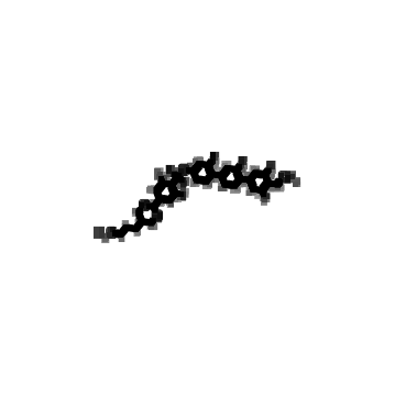 C=CCCC1COC(c2cc(F)c(C(F)(F)Oc3ccc(-c4ccc(-c5cc(F)c(C=C)c(F)c5)c(F)c4)c(F)c3)c(F)c2)OC1